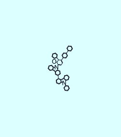 C1=C(c2ccc(-c3ccccc3)cc2)C2c3ccccc3OC2C(n2c3ccccc3c3cc(-c4cccc5c4c4ccccc4n5-c4ccccc4)ccc32)=C1